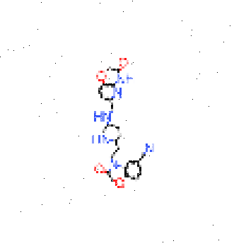 N#Cc1ccc2c(c1)N(CCC1CCC(NCc3ccc4c(n3)NC(=O)CO4)CN1)C(=O)CO2